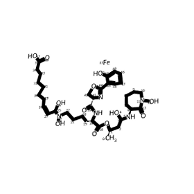 C[C@@H](CC(O)N[C@H]1CCCCN(O)C1=O)OC(=O)[C@H](CCCCN(O)C(O)/C=C\CCCCCCC(=O)O)NC(=O)[C@@H]1COC(c2ccccc2O)=N1.[Fe]